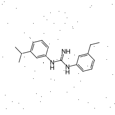 CCc1cccc(NC(=N)Nc2cccc(C(C)C)c2)c1